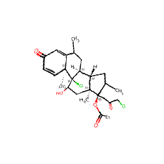 CCC(=O)O[C@]1(C(=O)CCl)C(C)C[C@H]2[C@@H]3CC(C)C4=CC(=O)C=C[C@]4(C)[C@@]3(Cl)C(O)C[C@@]21C